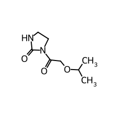 CC(C)OCC(=O)N1CCNC1=O